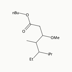 CCCCOC(=O)CC(OC)C(C)C(CC)C(C)C